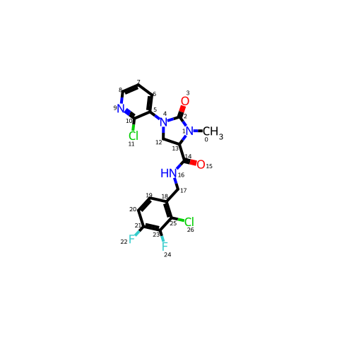 CN1C(=O)N(c2cccnc2Cl)CC1C(=O)NCc1ccc(F)c(F)c1Cl